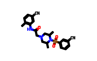 Cc1ccc(C#N)cc1NC(=O)CN1CC(C)N(S(=O)(=O)c2cccc(C#N)c2)C(C)C1